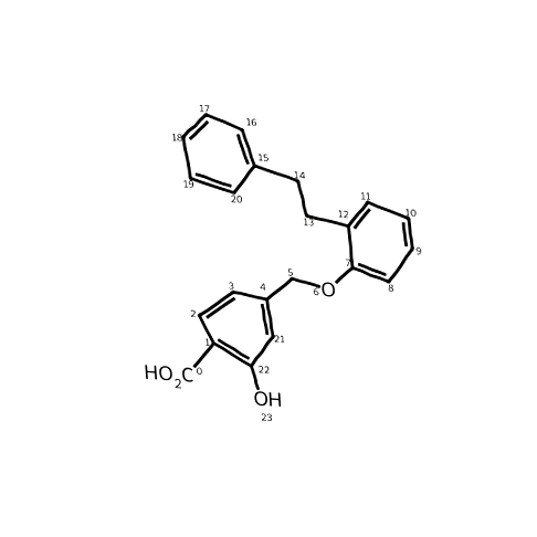 O=C(O)c1ccc(COc2ccccc2CCc2ccccc2)cc1O